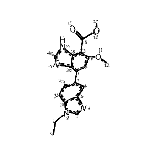 CCn1cnc2cc(-c3cc(OC)c(C(=O)OC)c4[nH]cnc34)ccc21